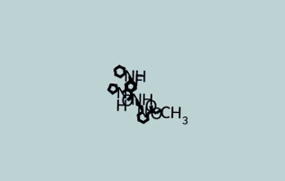 CCOC(=O)C1CCCCN1CCNC(=O)c1cc(F)c(NC2CCCCC2)cc1NC1CCCC1